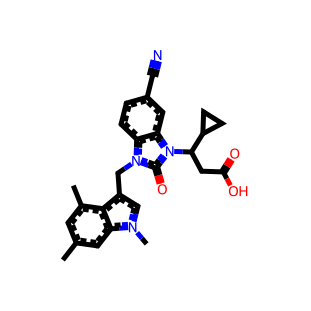 Cc1cc(C)c2c(Cn3c(=O)n(C(CC(=O)O)C4CC4)c4cc(C#N)ccc43)cn(C)c2c1